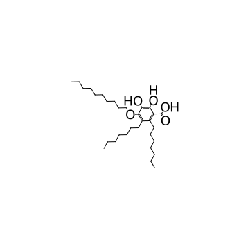 CCCCCCCCCCOc1c(O)c(O)c(C(=O)O)c(CCCCCCC)c1CCCCCCC